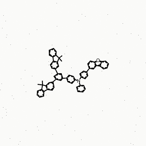 CC1(C)c2ccccc2-c2ccc(-c3cc(-c4ccc(N(c5ccccc5)c5ccc(-c6ccc7oc8ccccc8c7c6)cc5)cc4)cc(-c4ccc5c(c4)C(C)(C)c4ccccc4-5)c3)cc21